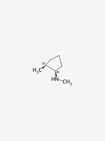 CN[C@@H]1CCC[C@@H]1C